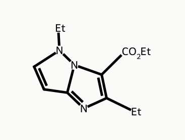 CCOC(=O)c1c(CC)nc2ccn(CC)n12